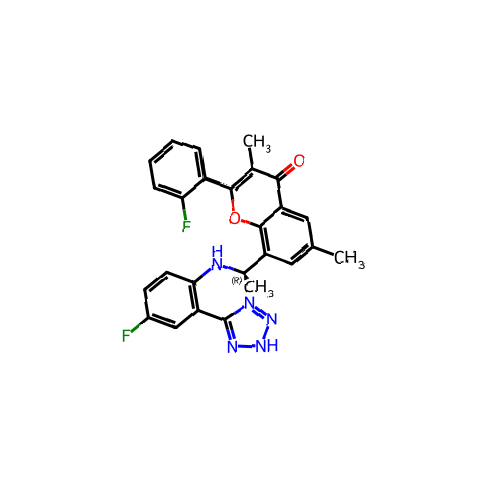 Cc1cc([C@@H](C)Nc2ccc(F)cc2-c2nn[nH]n2)c2oc(-c3ccccc3F)c(C)c(=O)c2c1